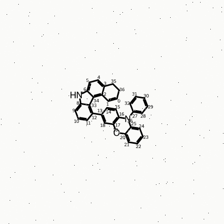 C1=Cc2c(ccc3[nH]c4cccc(-c5ccc6c(c5)Oc5ccccc5N6c5ccccc5)c4c23)CC1